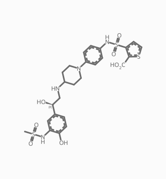 CS(=O)(=O)Nc1cc([C@@H](O)CNC2CCN(c3ccc(NS(=O)(=O)c4ccsc4C(=O)O)cc3)CC2)ccc1O